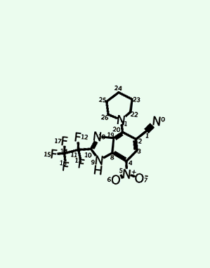 N#Cc1cc([N+](=O)[O-])c2[nH]c(C(F)(F)C(F)(F)F)nc2c1N1CCCCC1